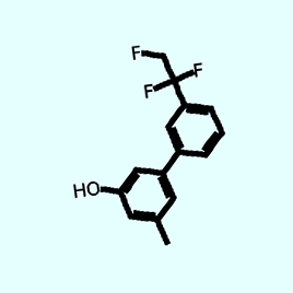 Cc1cc(O)cc(-c2cccc(C(F)(F)CF)c2)c1